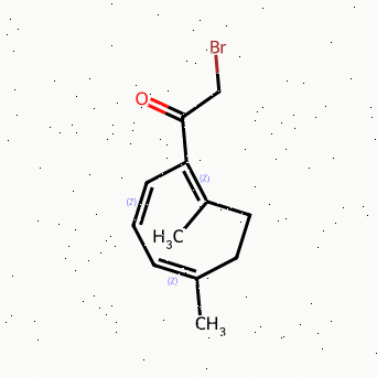 C/C1=C/C=C\C(C(=O)CBr)=C(/C)CC1